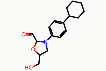 O=CC1OC(CO)CN1c1ccc(C2CCCCC2)cc1